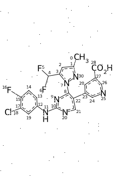 Cc1cc(C(F)F)n(-c2nc(Nc3ccc(F)c(Cl)c3)ncc2-c2cncc(C(=O)O)c2)n1